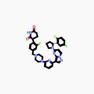 O=C1CCC(c2ccc(CN3CCN(c4cccc(-c5cnn6ccc(N7CCC[C@@H]7c7cc(F)ccc7F)nc56)n4)CC3)cc2F)C(=O)N1